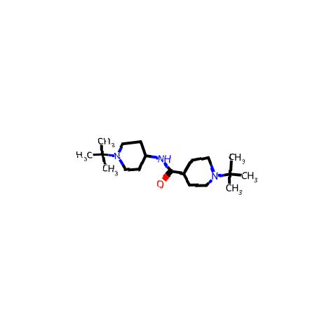 CC(C)(C)N1CCC(NC(=O)C2CCN(C(C)(C)C)CC2)CC1